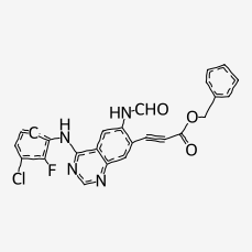 O=CNc1cc2c(Nc3cccc(Cl)c3F)ncnc2cc1C#CC(=O)OCc1ccccc1